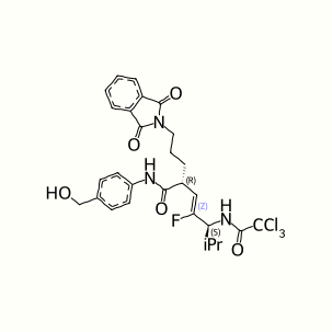 CC(C)[C@H](NC(=O)C(Cl)(Cl)Cl)/C(F)=C/[C@@H](CCCN1C(=O)c2ccccc2C1=O)C(=O)Nc1ccc(CO)cc1